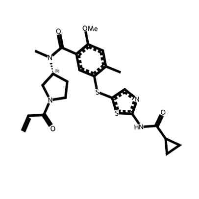 C=CC(=O)N1CC[C@@H](N(C)C(=O)c2cc(Sc3cnc(NC(=O)C4CC4)s3)c(C)cc2OC)C1